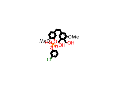 COc1ccc(/C=C\c2cc(CO)c(CO)c(OC)c2)cc1OP(=O)(O)Oc1cccc(Cl)c1